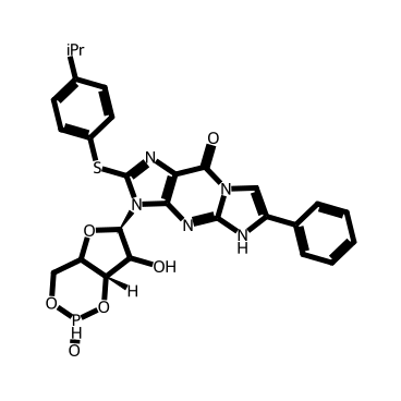 CC(C)c1ccc(Sc2nc3c(=O)n4cc(-c5ccccc5)[nH]c4nc3n2[C@@H]2OC3CO[PH](=O)O[C@H]3C2O)cc1